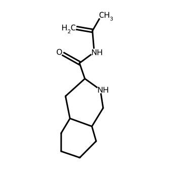 C=C(C)NC(=O)C1CC2CCCCC2CN1